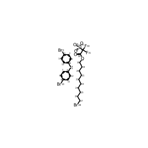 Brc1ccc([I+]c2ccc(Br)cc2)cc1.O=C(OCCCCCCCCCCBr)C(F)(F)S(=O)(=O)[O-]